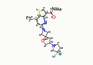 CNC(=O)c1csc2c(C(F)(F)F)cc(N3CC4(CC(N5CCC(F)(F)C5)CO4)C3)nc12